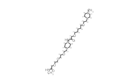 CNC(=O)COCCOCCOCCN1CCN(NC(=O)COCCCCCOCCN2CCN(C)CC2)CC1